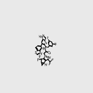 O=C(Cn1nc(C(F)F)c2c1C(F)(F)C1=C[C@@H]12)N[C@H](Cc1cc(F)cc(F)c1)c1nc2cn[nH]c2cc1-c1ccc2scnc2c1